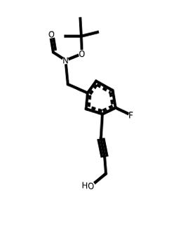 CC(C)(C)ON(C=O)Cc1ccc(F)c(C#CCO)c1